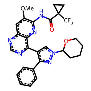 COc1cc2ncnc(-c3cn(C4CCCCO4)nc3-c3ccccc3)c2nc1NC(=O)C1(C(F)(F)F)CC1